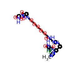 CN1CCN(c2ccc(-c3cccc(CN4CCN(CCCNC(=O)CCOCCOCCOCCOCCOCCNc5cccc6c5C(=O)N(C5CCC(=O)NC5=O)C6=O)CC4)c3)cc2NC(=O)c2c[nH]c(=O)cc2C(F)(F)F)CC1